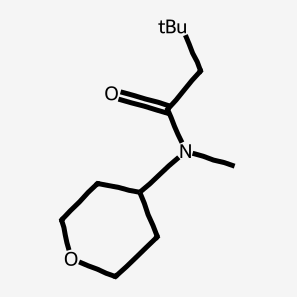 CN(C(=O)CC(C)(C)C)C1CCOCC1